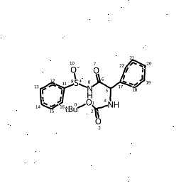 CC(C)(C)OC(=O)NC(C(=O)N[S+]([O-])c1ccccc1)c1ccccc1